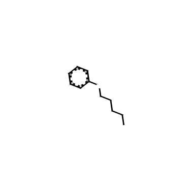 CCCC[CH]Nc1ccccc1